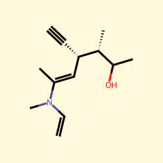 C#C[C@@H](/C=C(\C)N(C)C=C)[C@H](C)C(C)O